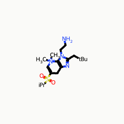 CC(C)S(=O)(=O)C1=C[N+](C)(C)c2c(nc(CC(C)(C)C)n2CCN)C1